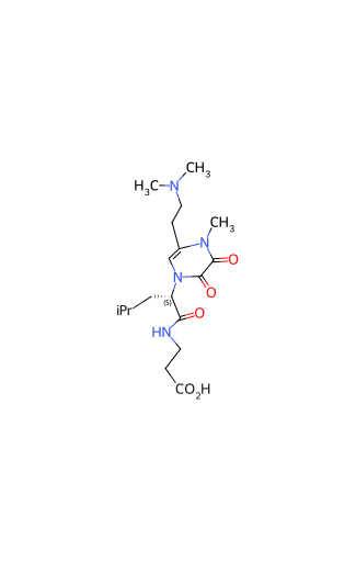 CC(C)C[C@@H](C(=O)NCCC(=O)O)n1cc(CCN(C)C)n(C)c(=O)c1=O